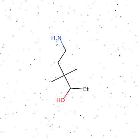 [CH2]C(C)(CCN)C(O)CC